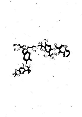 CC(C)(C)c1cc(C(C)(C)COC[C@H](O)Cn2c(C(C)(C)CO)cc3cc(NC(=O)C4(c5ccc6c(c5)OC(F)(F)O6)CC4)c(F)cc32)c(O)cc1NC(=O)c1c[nH]c2ccccc2c1=O